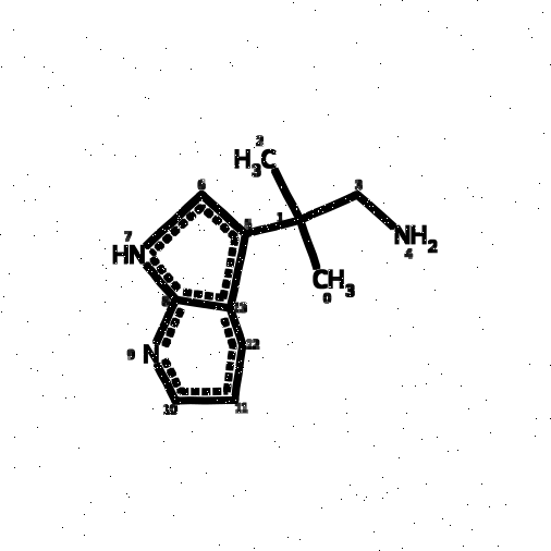 CC(C)(CN)c1c[nH]c2ncccc12